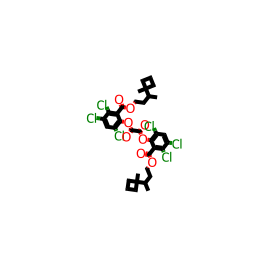 CC(CCOC(=O)c1c(Cl)c(Cl)cc(Cl)c1OC(=O)C(=O)Oc1c(Cl)cc(Cl)c(Cl)c1C(=O)OCCC(C)C1(C)CCC1)C1(C)CCC1